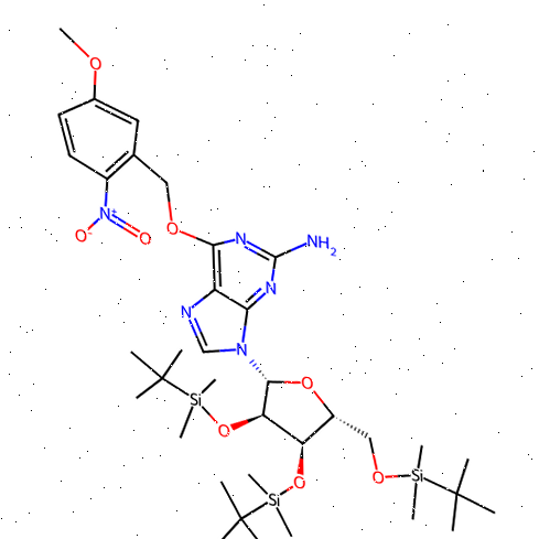 COc1ccc([N+](=O)[O-])c(COc2nc(N)nc3c2ncn3[C@@H]2O[C@H](CO[Si](C)(C)C(C)(C)C)[C@@H](O[Si](C)(C)C(C)(C)C)[C@H]2O[Si](C)(C)C(C)(C)C)c1